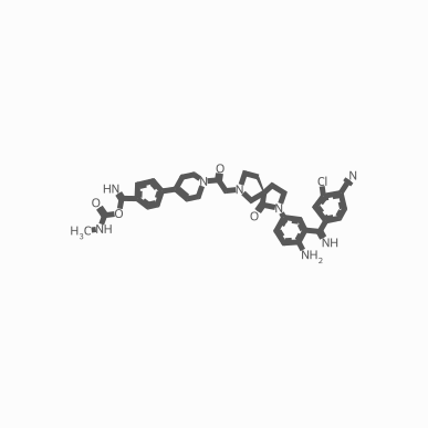 CNC(=O)OC(=N)c1ccc(C2=CCN(C(=O)CN3CC[C@]4(CCN(c5ccc(N)c(C(=N)c6ccc(C#N)c(Cl)c6)c5)C4=O)C3)CC2)cc1